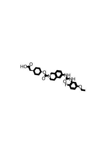 CCOc1ccc(F)c(NC(=O)Nc2ccc3c(c2)CCN(C(=O)O[C@H]2CC[C@H](CC(=O)O)CC2)C3)c1